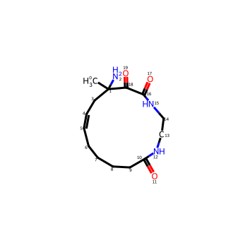 CC1(N)CC=CCCCCC(=O)NCCNC(=O)C1=O